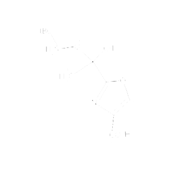 CC(C)(C)[SiH2]OC(C)(C)c1nc(C(=O)O)co1